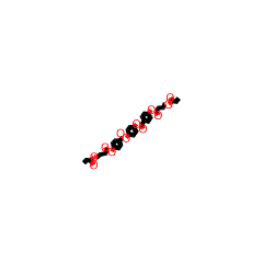 C=CC(=O)OCCCC(=O)Oc1ccc(C(=O)Oc2ccc(OC(=O)c3ccc(OC(=O)CCCOC(=O)C=C)cc3)cc2)cc1